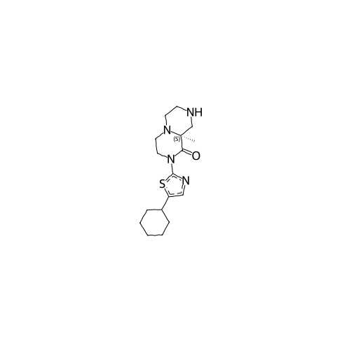 C[C@@]12CNCCN1CCN(c1ncc(C3CCCCC3)s1)C2=O